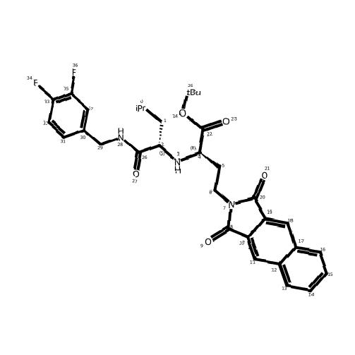 CC(C)C[C@H](N[C@H](CCN1C(=O)c2cc3ccccc3cc2C1=O)C(=O)OC(C)(C)C)C(=O)NCc1ccc(F)c(F)c1